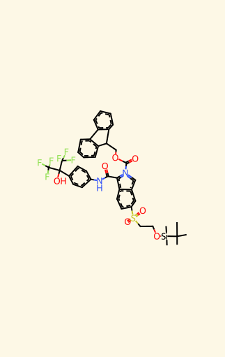 CC(C)(C)[Si](C)(C)OCCS(=O)(=O)c1ccc2c(C(=O)Nc3ccc(C(O)(C(F)(F)F)C(F)(F)F)cc3)n(C(=O)OCC3c4ccccc4-c4ccccc43)cc2c1